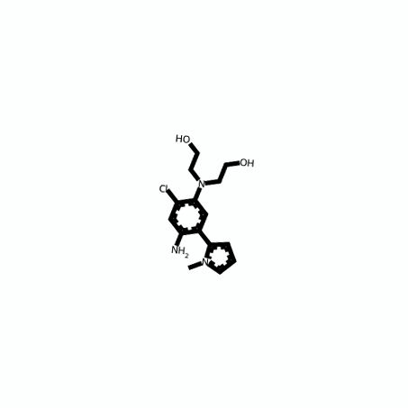 Cn1cccc1-c1cc(N(CCO)CCO)c(Cl)cc1N